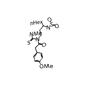 CCCCCCC(CCN(C(=O)Cc1ccc(OC)cc1)C(=S)NC)N=S(=O)=O